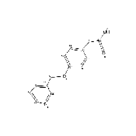 O=C(O)Cc1ccc(OCc2cccnc2)cc1